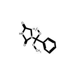 COC(OC)(c1ccccc1)N1CC(=O)NC1=O